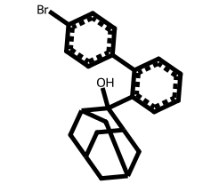 OC1(c2ccccc2-c2ccc(Br)cc2)C2CC3CC(C2)CC1C3